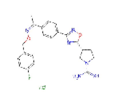 CC(=NOCc1ccc(F)cc1)c1ccc(-c2noc([C@@H]3CCN(C(=N)N)C3)n2)cc1.Cl